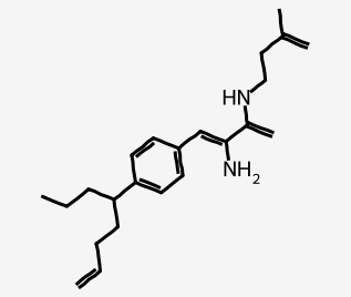 C=CCCC(CCC)c1ccc(/C=C(\N)C(=C)NCCC(=C)C)cc1